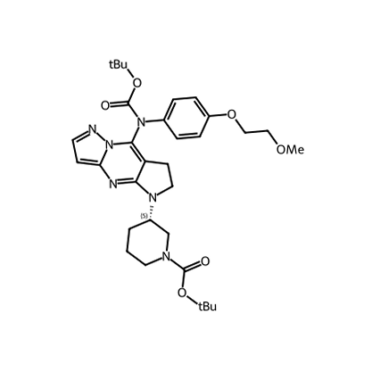 COCCOc1ccc(N(C(=O)OC(C)(C)C)c2c3c(nc4ccnn24)N([C@H]2CCCN(C(=O)OC(C)(C)C)C2)CC3)cc1